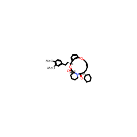 COc1ccc(CC[C@H]2OC(=O)[C@@H]3CCCCN3C(=O)[C@@H](C3CCCCC3)CC=CCOc3cccc2c3)cc1OC